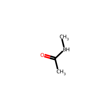 CBC(C)=O